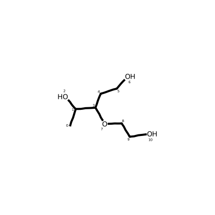 CC(O)C(CCO)OCCO